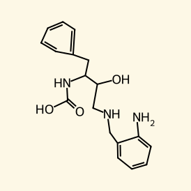 Nc1ccccc1CNCC(O)C(Cc1ccccc1)NC(=O)O